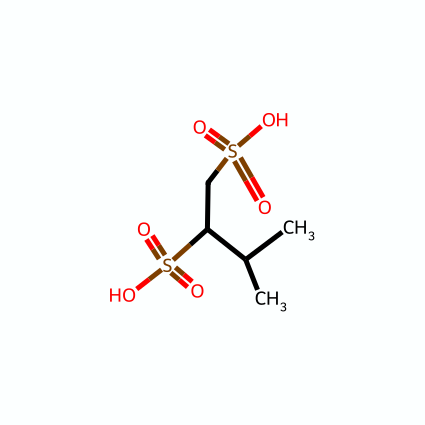 CC(C)C(CS(=O)(=O)O)S(=O)(=O)O